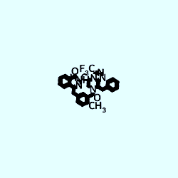 Cc1ccc(Cc2n[nH]c(=O)c3ccccc23)cc1C(=O)N1CC(C)n2c(nnc2C(F)(F)F)C1Cc1ccccc1